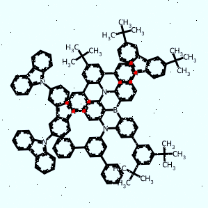 CC(C)(C)c1cc(-c2ccc3c(c2)N(c2cc(-c4ccccc4)cc(-c4ccccc4)c2)c2cc(-n4c5ccc(-n6c7ccccc7c7ccccc76)cc5c5cc(-n6c7ccccc7c7ccccc76)ccc54)cc4c2B3c2ccc(-n3c5ccc(C(C)(C)C)cc5c5cc(C(C)(C)C)ccc53)cc2N4c2c(-c3ccccc3)cc(C(C)(C)C)cc2-c2ccccc2)cc(C(C)(C)C)c1